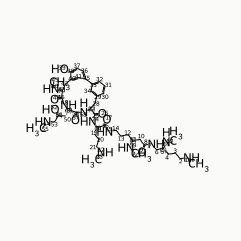 CNCCC[C@@H](CNC(=O)C[C@H](CCCNC(=O)[C@H](CCCNC)NC(=O)[C@@H]1Cc2cccc(c2)-c2ccc(O)c(c2)C[C@H](NC)C(=O)N[C@@H](C[C@@H](O)CNC)C(=O)N1)NC)NC